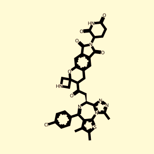 Cc1sc2c(c1C)C(c1ccc(Cl)cc1)=N[C@@H](CC(=O)C1Cc3cc4c(cc3OC13CNC3)C(=O)N(C1CCC(=O)NC1=O)C4=O)c1nnc(C)n1-2